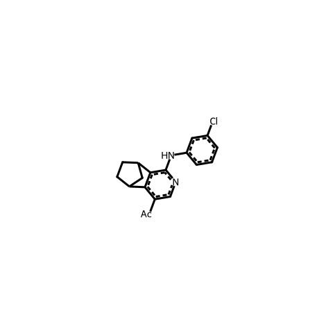 CC(=O)c1cnc(Nc2cccc(Cl)c2)c2c1C1CCC2C1